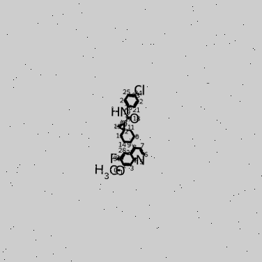 COc1cc2nccc([C@H]3CC[C@@]4(CC3)C[C@@H]4C(=O)Nc3ccc(Cl)cc3)c2cc1F